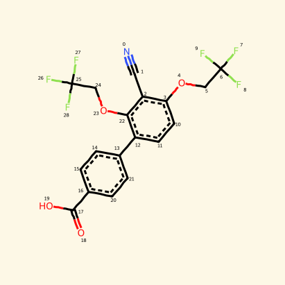 N#Cc1c(OCC(F)(F)F)ccc(-c2ccc(C(=O)O)cc2)c1OCC(F)(F)F